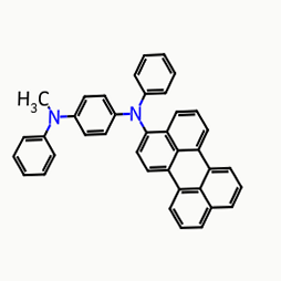 CN(c1ccccc1)c1ccc(N(c2ccccc2)c2ccc3c4cccc5cccc(c6cccc2c63)c54)cc1